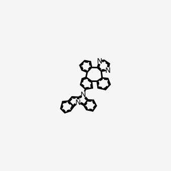 c1ccc2c(c1)-c1ccc(-n3c4ccccc4n4c5ccccc5cc34)cc1-c1ccccc1-c1nccnc1-2